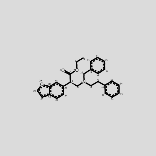 CCOC(=O)[C@@H](CN(CCc1ccccc1)Cc1ccccc1)c1ccc2ccoc2c1